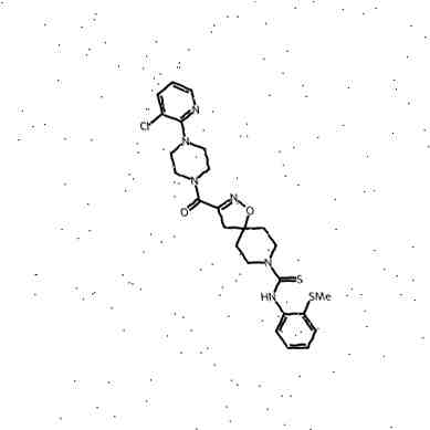 CSc1ccccc1NC(=S)N1CCC2(CC1)CC(C(=O)N1CCN(c3ncccc3Cl)CC1)=NO2